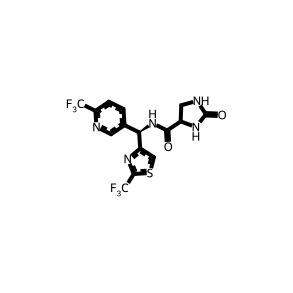 O=C1NCC(C(=O)N[C@H](c2ccc(C(F)(F)F)nc2)c2csc(C(F)(F)F)n2)N1